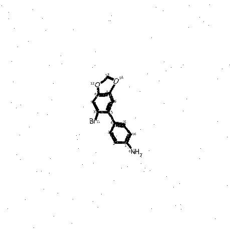 Nc1ccc(-c2cc3c(cc2Br)OCO3)cc1